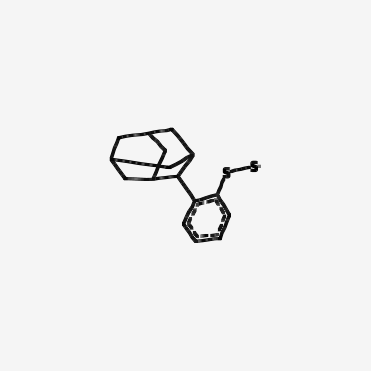 [S]Sc1ccccc1C1C2CC3CC(C2)CC1C3